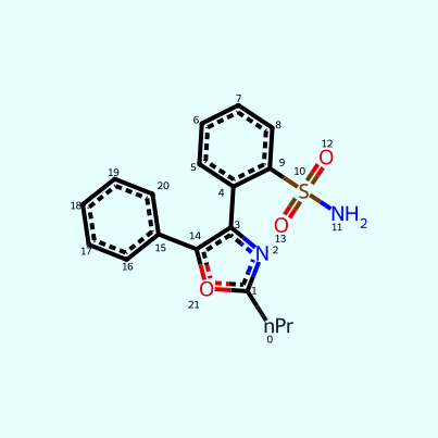 CCCc1nc(-c2ccccc2S(N)(=O)=O)c(-c2ccccc2)o1